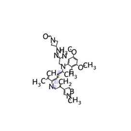 C=C(C)C(=C\C=C(/C)N(Cc1ncn(C2CN(C=O)C2)n1)c1cc(OC)cc(OC)c1F)/N=C\C(=C)c1cbn(C)c1